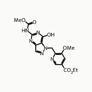 CCOC(=O)c1cnc(Cn2ncc3nc(NC(=O)OC)nc(O)c32)c(OC)c1